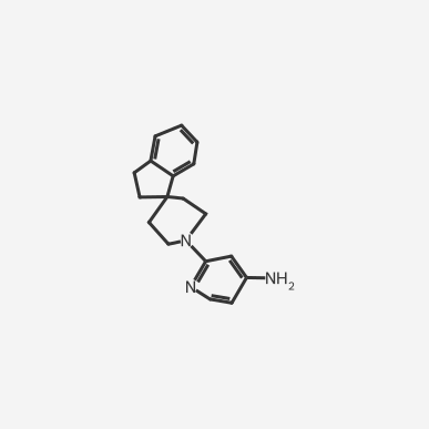 Nc1ccnc(N2CCC3(CCc4ccccc43)CC2)c1